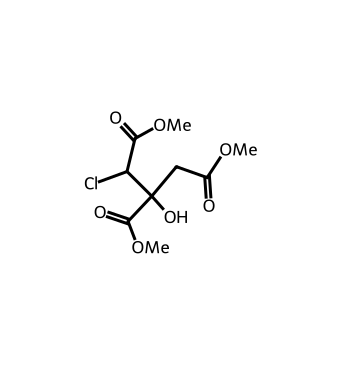 COC(=O)CC(O)(C(=O)OC)C(Cl)C(=O)OC